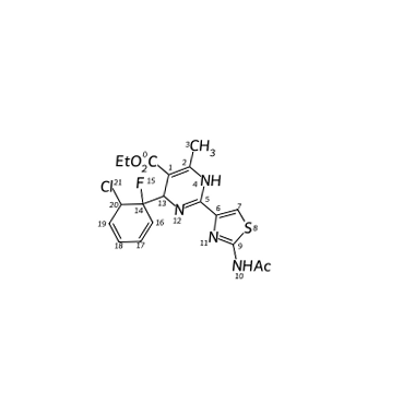 CCOC(=O)C1=C(C)NC(c2csc(NC(C)=O)n2)=NC1C1(F)C=CC=CC1Cl